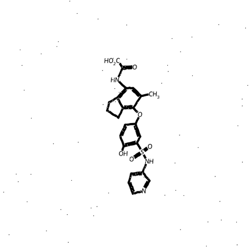 Cc1cc(NC(=O)C(=O)O)c2c(c1Oc1ccc(O)c(S(=O)(=O)Nc3cccnc3)c1)CCC2